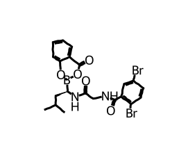 CC(C)C[C@H](NC(=O)CNC(=O)c1cc(Br)ccc1Br)B1OC(=O)c2ccccc2O1